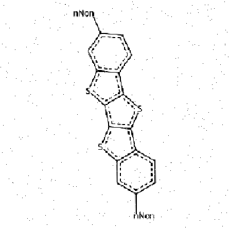 CCCCCCCCCc1ccc2c(c1)sc1c2sc2c3ccc(CCCCCCCCC)cc3sc21